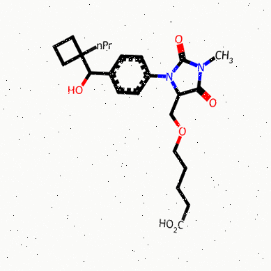 CCCC1(C(O)c2ccc(N3C(=O)N(C)C(=O)C3COCCCCC(=O)O)cc2)CCC1